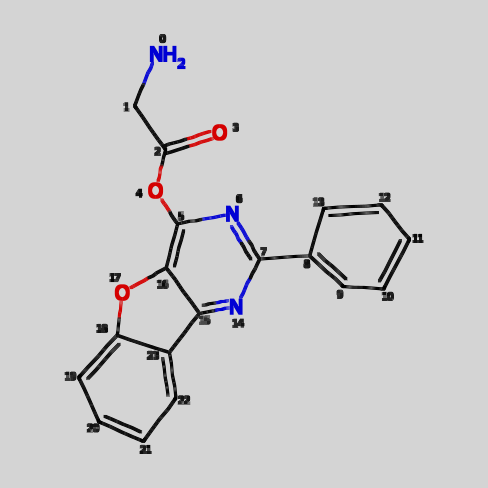 NCC(=O)Oc1nc(-c2ccccc2)nc2c1oc1ccccc12